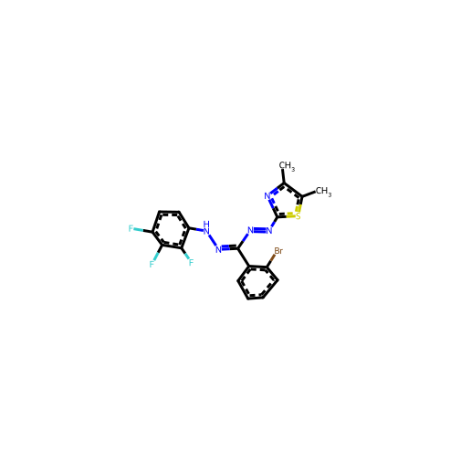 Cc1nc(N=NC(=NNc2ccc(F)c(F)c2F)c2ccccc2Br)sc1C